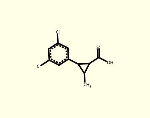 CC1C(C(=O)O)C1c1cc(Cl)cc(Cl)c1